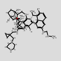 CCc1c(F)ccc2cc(OCOC)cc(-c3nc4c5c(nc(OCC6(CN7CCOCC7)CC6)nc5c3F)N3C[C@H]5CC[C@@H]([C@H]3CO4)N5C(=O)OC(C)(C)C)c12